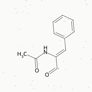 CC(=O)NC([C]=O)=Cc1ccccc1